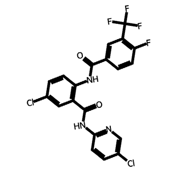 O=C(Nc1ccc(Cl)cc1C(=O)Nc1ccc(Cl)cn1)c1ccc(F)c(C(F)(F)F)c1